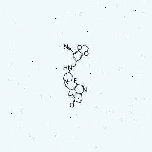 N#Cc1cc(CNC2CCN(C[C@@H]3Cn4c(=O)ccc5ncc(F)c3c54)CC2)cc2c1OCCO2